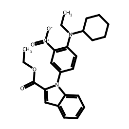 CCOC(=O)c1cc2ccccc2n1-c1ccc(N(CC)C2CCCCC2)c([N+](=O)[O-])c1